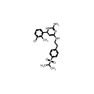 Cc1c(Cl)cccc1C1C=C(NCCc2ccc(S(=O)(=O)C(C)C)cc2)N=C(N)N1